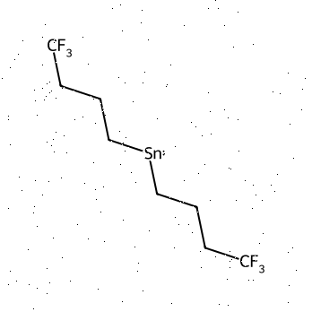 FC(F)(F)CC[CH2][Sn][CH2]CCC(F)(F)F